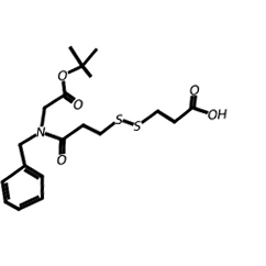 CC(C)(C)OC(=O)CN(Cc1ccccc1)C(=O)CCSSCCC(=O)O